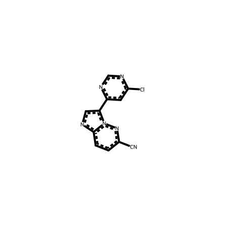 N#Cc1ccc2ncc(-c3cc(Cl)ncn3)n2n1